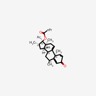 CCCC(=O)O[C@]1(C(C)=O)[C@@H](C)C[C@H]2[C@@H]3C[C@H](C)C4=CC(=O)C=C[C@]4(C)C3=CC[C@@]21C